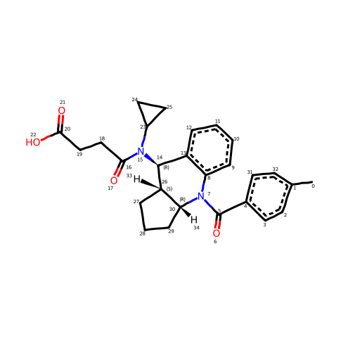 Cc1ccc(C(=O)N2c3ccccc3[C@H](N(C(=O)CCC(=O)O)C3CC3)[C@H]3CCC[C@H]32)cc1